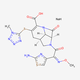 CO/N=C(\C(=O)N1C[C@H]2CC(Sc3nnnn3C)=C(C(=O)O)N3C(=O)[C@@H]1[C@@H]23)c1csc(N)n1.[NaH]